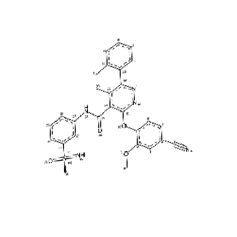 COc1cc(C#N)ccc1Oc1nnc(-c2ccccc2C)c(C)c1C(=O)Nc1cccc([S@](C)(=N)=O)c1